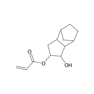 C=CC(=O)OC1CC2C3CCC(C3)C2C1O